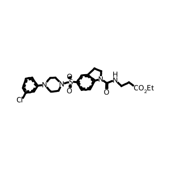 CCOC(=O)CCNC(=O)N1CCc2cc(S(=O)(=O)N3CCN(c4cccc(Cl)c4)CC3)ccc21